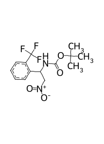 CC(C)(C)OC(=O)NC(C[N+](=O)[O-])c1ccccc1C(F)(F)F